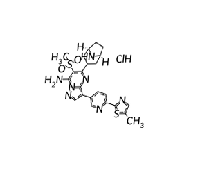 Cc1cnc(-c2ccc(-c3cnn4c(N)c(S(C)(=O)=O)c(C5C[C@H]6CC[C@@H](C5)N6)nc34)cn2)s1.Cl